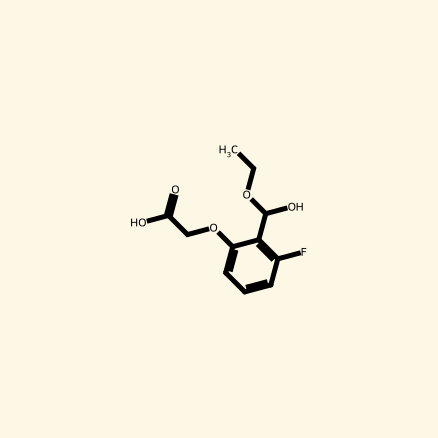 CCOC(O)c1c(F)cccc1OCC(=O)O